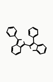 c1ccc(-c2c(-c3sc(-c4ccccc4)c4ccccc34)sc3ccccc23)cc1